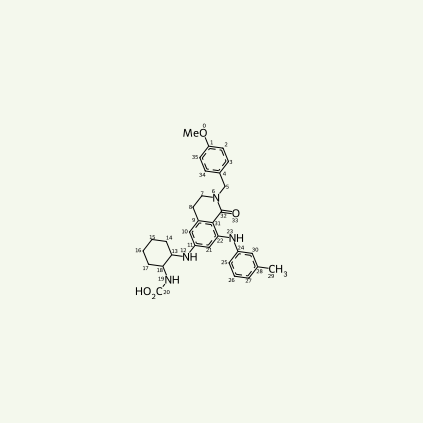 COc1ccc(CN2CCc3cc(NC4CCCCC4NC(=O)O)cc(Nc4cccc(C)c4)c3C2=O)cc1